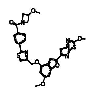 COc1cc(OCc2csc(-c3ccc(C(=O)N4CC(OC)C4)cc3)n2)c2cc(-c3cn4nc(OC)sc4n3)oc2c1